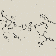 C=C(C)C(=O)OCCN(CCOC(=O)C(=C)C)S(=O)(=O)c1ccc(/N=N/c2c(C)c(C#N)c(=O)n(CC(CC)CCCC)c2O)cc1